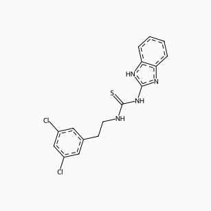 S=C(NCCc1cc(Cl)cc(Cl)c1)Nc1nc2ccccc2[nH]1